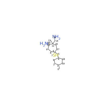 CC1CCC(CC2(S)CC[C@H](N)C(C)(CN)CC2)CC1